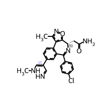 CN/C=C(\C=N)c1ccc2c(c1)C(c1ccc(Cl)cc1)=N[C@@H](CC(N)=O)c1onc(C)c1-2